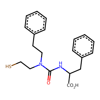 O=C(O)C(Cc1ccccc1)NC(=O)N(CCS)CCc1ccccc1